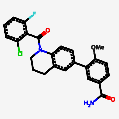 COc1ccc(C(N)=O)cc1-c1ccc2c(c1)CCCN2C(=O)c1c(F)cccc1Cl